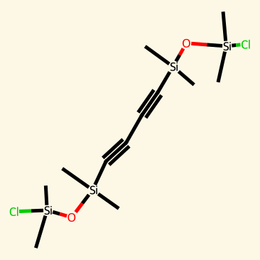 C[Si](C)(Cl)O[Si](C)(C)C#CC#C[Si](C)(C)O[Si](C)(C)Cl